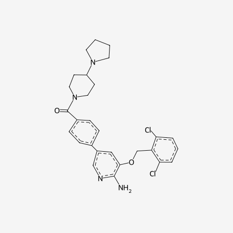 Nc1ncc(-c2ccc(C(=O)N3CCC(N4CCCC4)CC3)cc2)cc1OCc1c(Cl)cccc1Cl